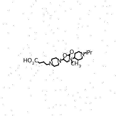 CC(C)N1CCC([N+]2(C)CC(N3CCN(CCCC(=O)O)CC3)OC2=O)CC1